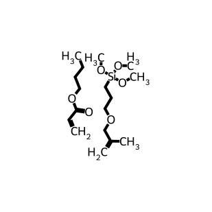 C=C(C)COCCC[Si](OC)(OC)OC.C=CC(=O)OCCCC